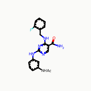 CC(=O)Nc1cccc(Nc2ncc(C(N)=O)c(NCc3ccccc3F)n2)c1